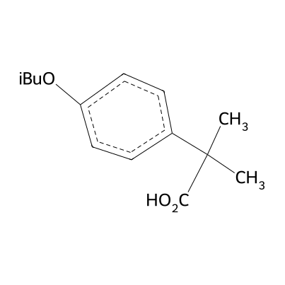 CC(C)COc1ccc(C(C)(C)C(=O)O)cc1